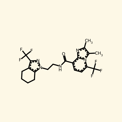 Cc1nc2c(C(=O)NCCn3nc(C(F)(F)F)c4c3CCCC4)ccc(C(F)(F)F)n2c1C